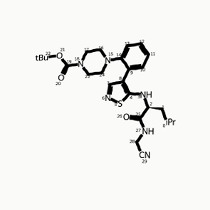 CC(C)C[C@H](Nc1sncc1-c1ccccc1N1CCN(C(=O)OC(C)(C)C)CC1)C(=O)NCC#N